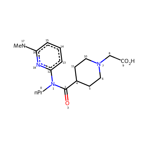 CCCN(C(=O)C1CCN(CC(=O)O)CC1)c1cccc(NC)n1